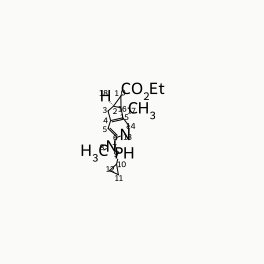 CCOC(=O)[C@@H]1[C@@H]2Cc3cc(N(C)PC4CC4)ncc3[C@]12C